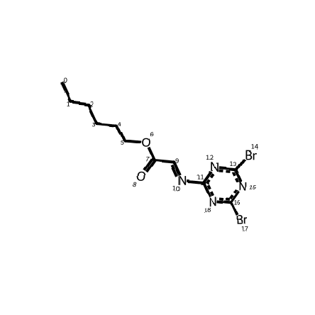 CCCCCCOC(=O)C=Nc1nc(Br)nc(Br)n1